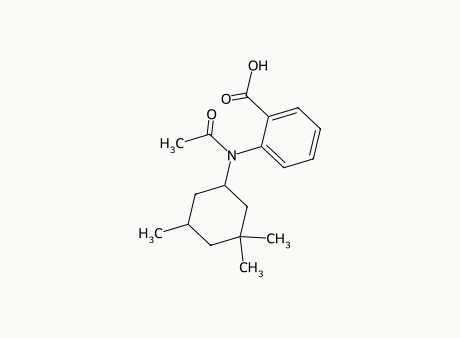 CC(=O)N(c1ccccc1C(=O)O)C1CC(C)CC(C)(C)C1